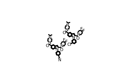 CC(C)N1CCN(C(=O)c2ccc3c(c2)cc(C(=O)N2CCC(F)(F)CC2)n3-c2ccc(C#N)cc2)CC1.CC(C)N1CCN(C(=O)c2ccc3c(c2)cc(C(=O)N2CCC(F)(F)CC2)n3-c2cccc(Cl)c2)CC1